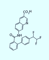 O=C(O)c1cnc2cc(NC(=O)c3ccccc3-c3ccc(C(F)C(F)F)cc3)ccc2c1